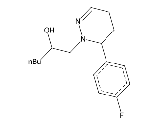 CCCCC(O)CN1N=CCCC1c1ccc(F)cc1